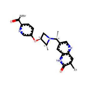 CCc1cc2ncc([C@@H](C)N3C[C@H](Oc4ccc(C(=O)NC)nc4)[C@H]3C)cc2[nH]c1=O